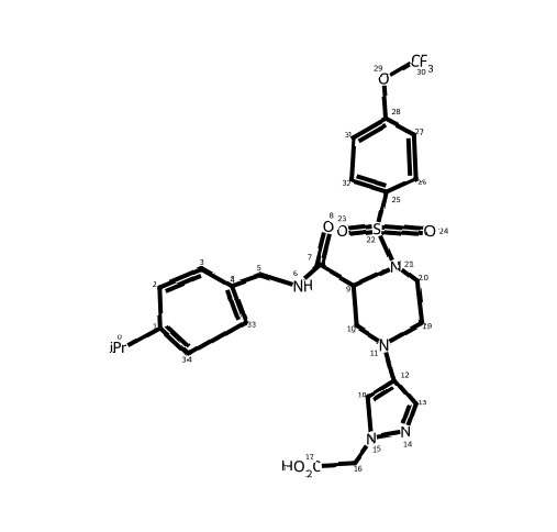 CC(C)c1ccc(CNC(=O)C2CN(c3cnn(CC(=O)O)c3)CCN2S(=O)(=O)c2ccc(OC(F)(F)F)cc2)cc1